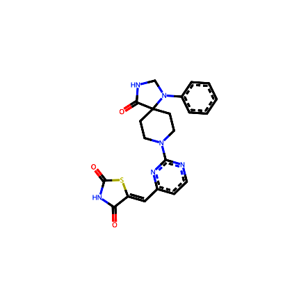 O=C1NC(=O)C(=Cc2ccnc(N3CCC4(CC3)C(=O)NCN4c3ccccc3)n2)S1